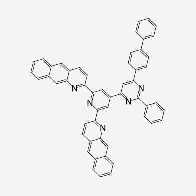 c1ccc(-c2ccc(-c3cc(-c4cc(-c5ccc6cc7ccccc7cc6n5)nc(-c5ccc6cc7ccccc7cc6n5)c4)nc(-c4ccccc4)n3)cc2)cc1